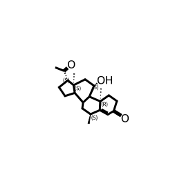 CC(=O)[C@H]1CCC2C3C[C@H](C)C4=CC(=O)CC[C@]4(C)C3[C@@H](O)C[C@@]21C